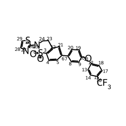 O=S1(=O)c2ccc(-c3ccc(Oc4ccc(C(F)(F)F)cc4)cc3)cc2CCN1c1nccs1